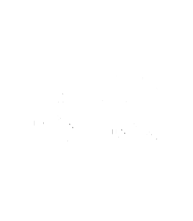 CN(CCC/C=C\c1cccc(C(N)=O)c1)[S+](C)[O-]